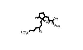 CCCCCC(O)CCC1CCC(=O)C1(CCC(CC)CCCC(=O)OCC)C(=O)OCC